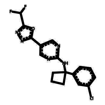 FC(F)c1nnc(-c2cnc(NC3(c4cccc(Cl)c4)CCC3)nc2)o1